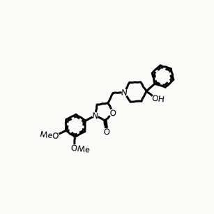 COc1ccc(N2CC(CN3CCC(O)(c4ccccc4)CC3)OC2=O)cc1OC